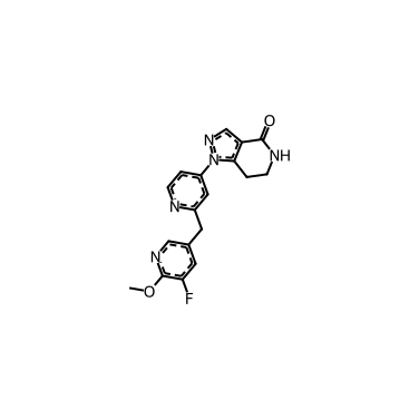 COc1ncc(Cc2cc(-n3ncc4c3CCNC4=O)ccn2)cc1F